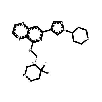 FC1(F)CCNC[C@@H]1CNc1nc(-c2cnn(C3CCOCC3)c2)cc2nccnc12